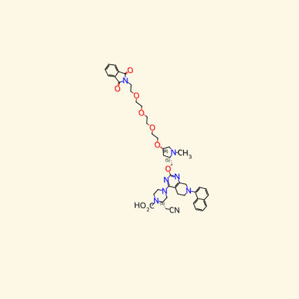 CN1C[C@H](OCCOCCOCCOCCN2C(=O)c3ccccc3C2=O)C[C@H]1COc1nc2c(c(N3CCN(C(=O)O)[C@@H](CC#N)C3)n1)CCN(c1cccc3ccccc13)C2